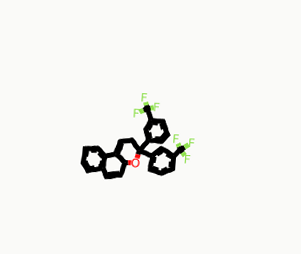 FC(F)(F)c1cccc(C2(c3cccc(C(F)(F)F)c3)CC=C3c4ccccc4C=CC3O2)c1